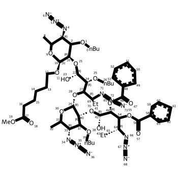 CCCCOC1[C@H](N=[N+]=[N-])C(C)O[C@H](OCCCCCC(=O)OC)[C@@H]1O[C@@H](O)[C@H](OCCCC)C(O[C@H]1OC(C)[C@@H](N=[N+]=[N-])C(OCCCC)[C@H]1O[C@@H](O)[C@H](OC(=O)c1ccccc1)C(OC(=O)c1ccccc1)[C@@H](CC)N=[N+]=[N-])[C@@H](CC)N=[N+]=[N-]